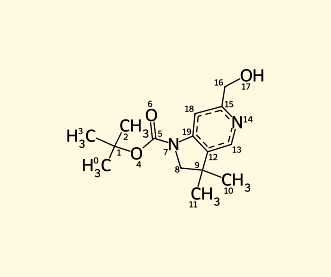 CC(C)(C)OC(=O)N1CC(C)(C)c2cnc(CO)cc21